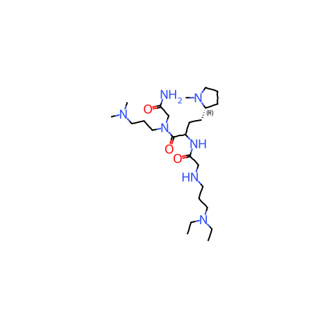 CCN(CC)CCCNCC(=O)NC(CC[C@H]1CCCN1C)C(=O)N(CCCN(C)C)CC(N)=O